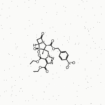 CCOC(=O)c1nnn(C[C@@]2(C)[C@H](C(=O)OCc3ccc([N+](=O)[O-])cc3)N3C(=O)C[C@H]3S2(=O)=O)c1C(=O)OCC